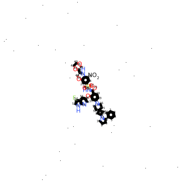 CC(C)c1ccccc1[C@H]1CCCN1C1CC2(CCN(c3ccc(C(=O)NS(=O)(=O)c4cc5c(c([N+](=O)[O-])c4)N[C@@H]([C@H]4COCCO4)CO5)c(Oc4cnc5[nH]cc(F)c5c4)c3)CC2)C1